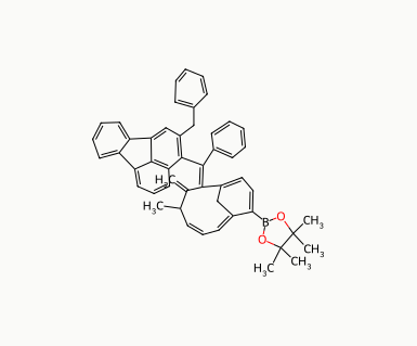 C=C1/C(=C(/c2ccccc2)c2c(Cc3ccccc3)cc3c4c(cccc24)-c2ccccc2-3)C2=CC=C(B3OC(C)(C)C(C)(C)O3)/C(=C/C=C\C1C)C2